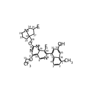 Cc1cccc2c(-c3ncc4c(OCC(F)(F)F)nc(OCC56CCCN5CC(F)C6)nc4c3F)cc(O)cc12